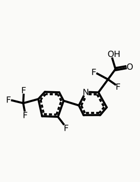 O=C(O)C(F)(F)c1cccc(-c2ccc(C(F)(F)F)cc2F)n1